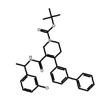 CC(NC(=O)C1=C(c2cccc(-c3ccccc3)c2)CCN(C(=O)OC(C)(C)C)C1)c1cccc(Cl)c1